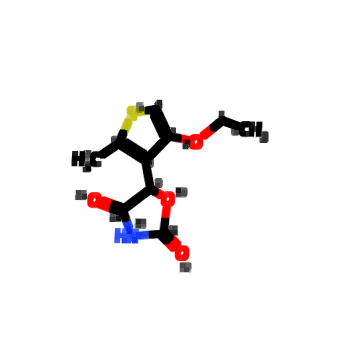 CCOc1csc(C)c1C1OC(=O)NC1=O